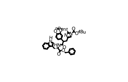 CCCCCc1nc(CC(C(=O)N[C@@H](Cc2c[nH]c3ccccc23)C(=O)OCc2ccccc2)c2ccc3c(c2)OCO3)cn1C(=O)OC(C)(C)C